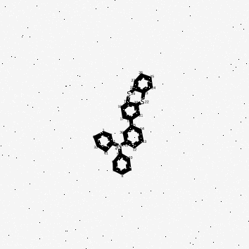 c1ccc(N(c2ccccc2)c2cccc(-c3ccc4c(c3)Sc3ccccc3S4)c2)cc1